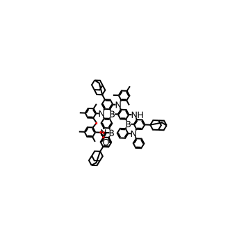 Cc1cc(C)c(N2c3cc4c(cc3B3c5ccccc5Oc5cc(C67CC8CC(CC(C8)C6)C7)cc2c53)B2c3cc5c(cc3N(c3c(C)cc(C)cc3C)c3cc(C67CC8CC(CC(C8)C6)C7)cc(c32)N4c2c(C)cc(C)cc2C)Nc2cc(C34CC6CC(CC(C6)C3)C4)cc3c2B5c2ccccc2N3c2ccccc2)c(C)c1